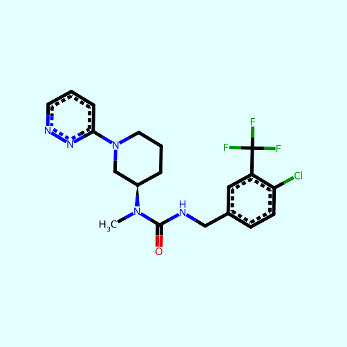 CN(C(=O)NCc1ccc(Cl)c(C(F)(F)F)c1)[C@@H]1CCCN(c2cccnn2)C1